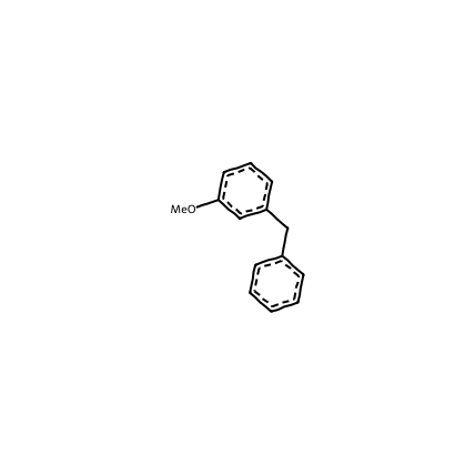 [CH2]Oc1cccc(Cc2ccccc2)c1